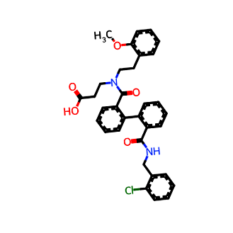 COc1ccccc1CCN(CCC(=O)O)C(=O)c1ccccc1-c1ccccc1C(=O)NCc1ccccc1Cl